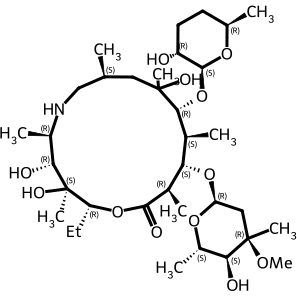 CC[C@H]1OC(=O)[C@H](C)[C@@H](O[C@H]2C[C@@](C)(OC)[C@@H](O)[C@H](C)O2)[C@H](C)[C@@H](O[C@@H]2O[C@H](C)CC[C@H]2O)C(C)(O)C[C@H](C)CN[C@H](C)[C@@H](O)[C@]1(C)O